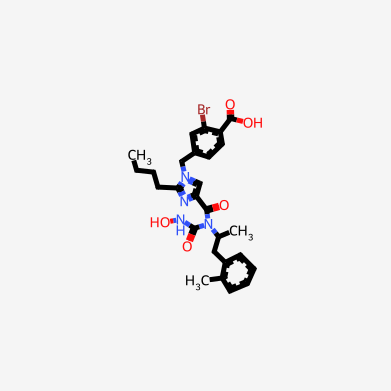 CCCCc1nc(C(=O)N(C(=O)NO)C(C)Cc2ccccc2C)cn1Cc1ccc(C(=O)O)c(Br)c1